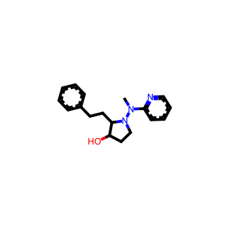 CN(c1ccccn1)N1CCC(O)C1CCc1ccccc1